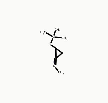 C/N=C1\CC1S[Si](C)(C)C